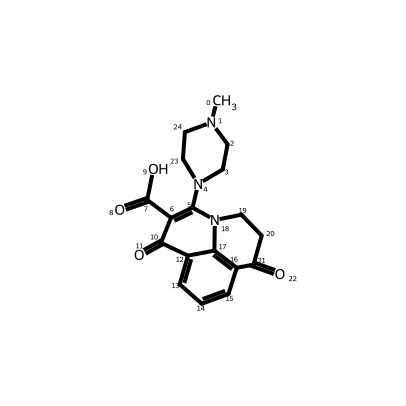 CN1CCN(c2c(C(=O)O)c(=O)c3cccc4c3n2CCC4=O)CC1